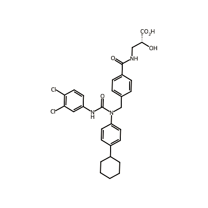 O=C(NC[C@@H](O)C(=O)O)c1ccc(CN(C(=O)Nc2ccc(Cl)c(Cl)c2)c2ccc(C3CCCCC3)cc2)cc1